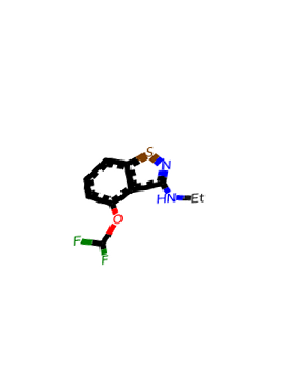 CCNc1nsc2cccc(OC(F)F)c12